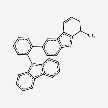 CC1CC=Cc2c1oc1ccc(-c3ccccc3-n3c4ccccc4c4ccccc43)cc21